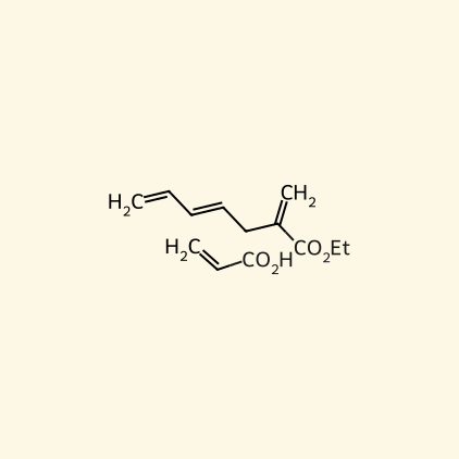 C=CC(=O)O.C=CC=CCC(=C)C(=O)OCC